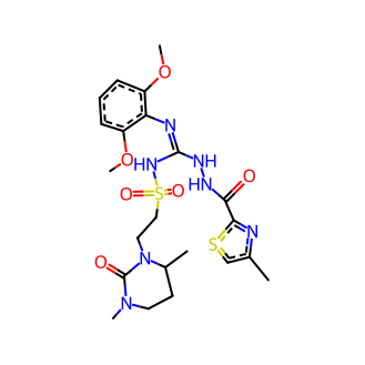 COc1cccc(OC)c1N=C(NNC(=O)c1nc(C)cs1)NS(=O)(=O)CCN1C(=O)N(C)CCC1C